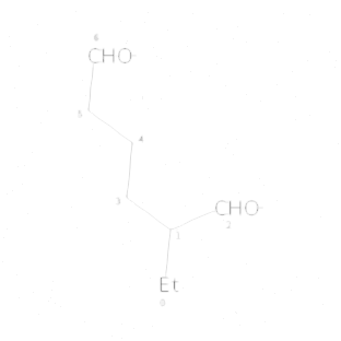 CCC([C]=O)CCC[C]=O